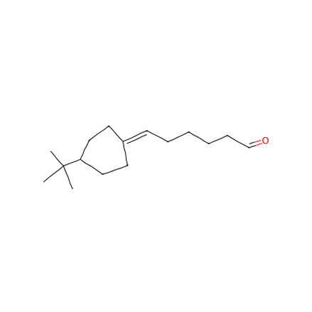 CC(C)(C)C1CCC(=CCCCCC=O)CC1